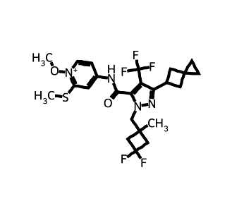 CO[n+]1ccc(NC(=O)c2c(C(F)(F)F)c(C3CC4(CC4)C3)nn2CC2(C)CC(F)(F)C2)cc1SC